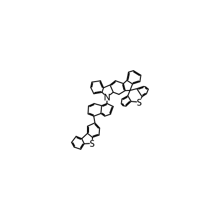 C1=C2c3ccccc3N(c3cccc4c(-c5ccc6sc7ccccc7c6c5)cccc34)C2CC2=C1c1ccccc1C21c2ccccc2Sc2ccccc21